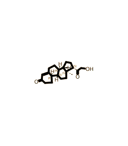 C[C@]12CC[C@H]3[C@@H](CCC4=CC(=O)CC[C@@H]43)[C@@H]1CC[C@@H]2C(=O)CO